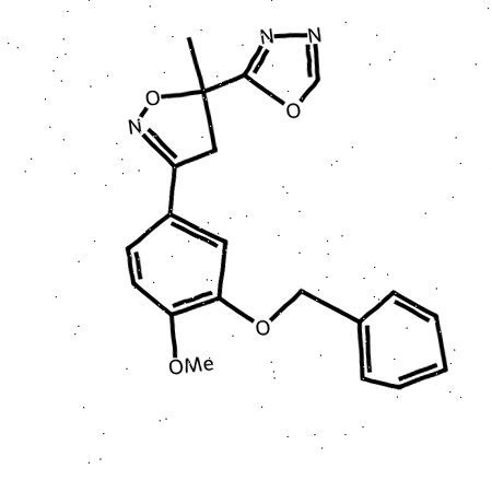 COc1ccc(C2=NOC(C)(c3nnco3)C2)cc1OCc1ccccc1